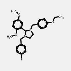 CCOc1ccc(CN2CCN(Cc3ccc(F)cc3)C2c2cc(OC)ccc2OC)cc1